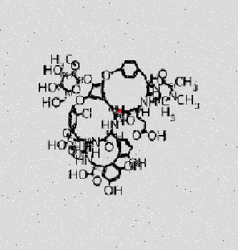 CO[C@H]1[C@H](Oc2c3cc4cc2Oc2ccc(cc2Cl)[C@@H](S(=O)(=O)O)[C@@H]2NC(=O)[C@H](NC(=O)[C@@H]4NC(=O)[C@@H](CCC(=O)O)NC(=O)[C@@H](NC(=O)[C@H](C)N(C)C)Cc4ccc(cc4)O3)c3ccc(O)c(c3)-c3c(O)cc(O)cc3[C@@H](C(=O)O)NC2=O)O[C@H](CO)[C@@H](O)[C@H]1O